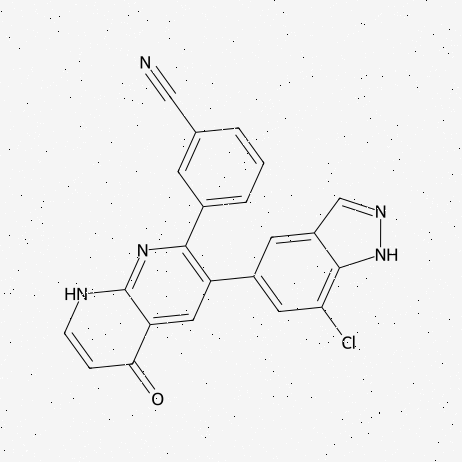 N#Cc1cccc(-c2nc3[nH]ccc(=O)c3cc2-c2cc(Cl)c3[nH]ncc3c2)c1